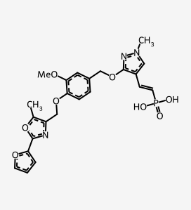 COc1cc(COc2nn(C)cc2C=CP(=O)(O)O)ccc1OCc1nc(-c2ccco2)oc1C